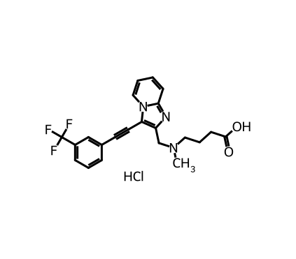 CN(CCCC(=O)O)Cc1nc2ccccn2c1C#Cc1cccc(C(F)(F)F)c1.Cl